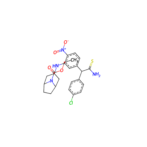 CCOC(=O)N1C2CCC1CC(Nc1cc(C(C(N)=S)c3ccc(Cl)cc3)ccc1[N+](=O)[O-])C2